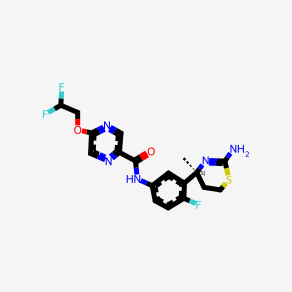 C[C@@]1(c2cc(NC(=O)c3cnc(OCC(F)F)cn3)ccc2F)CCSC(N)=N1